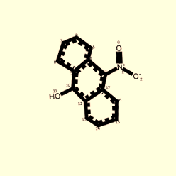 O=[N+]([O-])c1c2ccccc2c(O)c2ccccc12